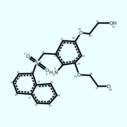 Nc1c(CS(=O)(=O)c2cccc3ccccc23)cc(OCCO)cc1OCCCl